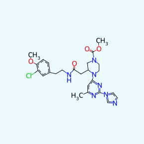 COC(=O)N1CCN(c2cc(C)nc(-n3ccnc3)n2)C(CC(=O)NCCc2ccc(OC)c(Cl)c2)C1